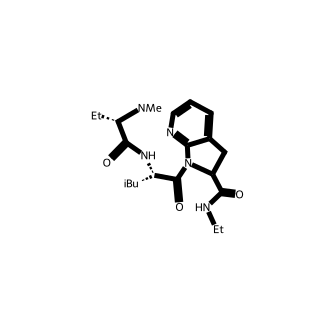 CCNC(=O)C1Cc2cccnc2N1C(=O)[C@@H](NC(=O)[C@H](CC)NC)[C@@H](C)CC